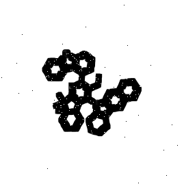 CCc1c(-c2cccc3oc4ccccc4c23)nc2c(c1-n1c3c(c4cc5ccccc5cc41)C=CCC3)C1C=CC=CC1(C)C2(C)C